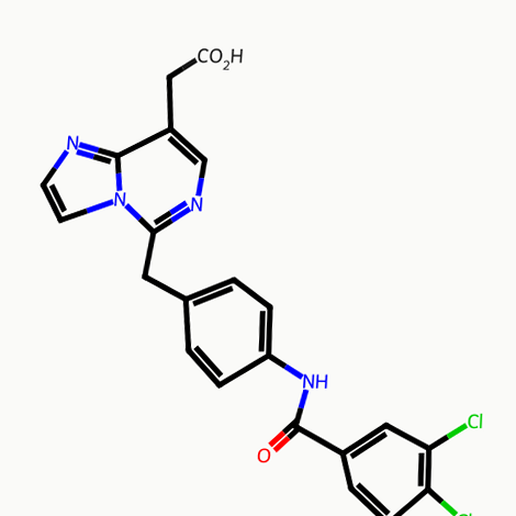 O=C(O)Cc1cnc(Cc2ccc(NC(=O)c3ccc(Cl)c(Cl)c3)cc2)n2ccnc12